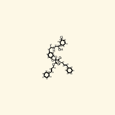 C[C@H](Cc1ccc2c(c1)OC(C(=O)OCC=Cc1ccccc1)(C(=O)OCC=Cc1ccccc1)O2)NC[C@H](O)c1cccc(Cl)c1